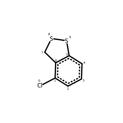 Clc1cccc2c1CSS2